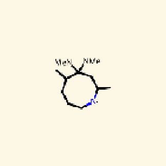 CNC1(NC)CC(C)[N]CCCC1C